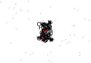 COc1ccc([C@@]2(OC(=O)/C=C\C(=O)O[C@]3(c4ccc(OC)cc4)Nc4cc(Cl)ccc4N(CCN(C)C)C(=O)[C@H]3OC(C)=O)Nc3cc(Cl)ccc3N(CCN(C)C)C(=O)[C@H]2OC(C)=O)cc1